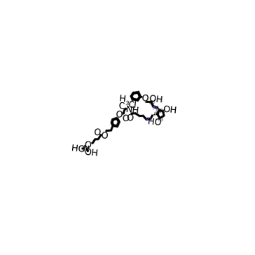 CC(NC(=O)CCC/C=C\C[C@@H]1[C@@H](/C=C/[C@@H](O)COc2cccc(Cl)c2)[C@H](O)C[C@@H]1O)C(=O)Oc1ccc(CCOC(=O)CCCON(O)O)cc1